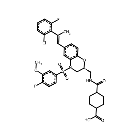 COc1cc(S(=O)(=O)N2C[C@H](CNC(=O)C3CCC(C(=O)O)CC3)Oc3ccc(/C=C(\C)c4c(F)cccc4Cl)cc32)ccc1F